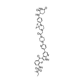 CCN(C)S(=O)(=O)Nc1cccc(C(=O)c2c[nH]c3ncc(-c4ccc(N5CCN(C(=O)CN6CCN(c7ccc(NC8CCC(=O)NC8=O)cc7)C(F)(F)C6)CC5)nc4)cc23)c1F